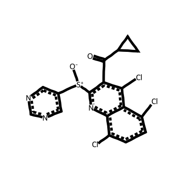 O=C(c1c([S+]([O-])c2cncnc2)nc2c(Cl)ccc(Cl)c2c1Cl)C1CC1